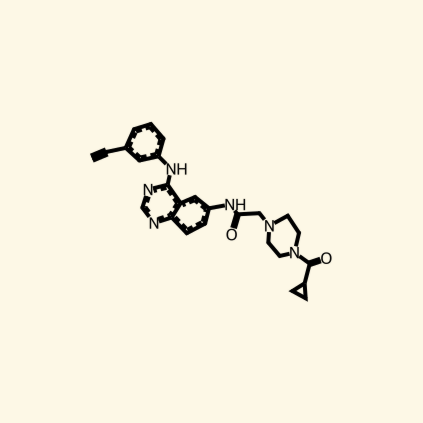 C#Cc1cccc(Nc2ncnc3ccc(NC(=O)CN4CCN(C(=O)C5CC5)CC4)cc23)c1